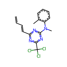 C=CC=Cc1nc(N(C)c2ccccc2C)nc(C(Cl)(Cl)Cl)n1